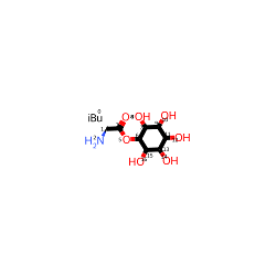 CC[C@H](C)[C@H](N)C(=O)OC1C(O)C(O)C(O)C(O)C1O